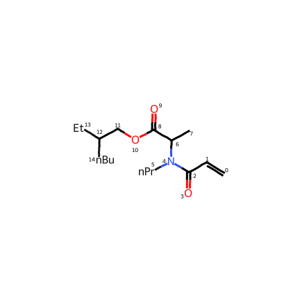 C=CC(=O)N(CCC)C(C)C(=O)OCC(CC)CCCC